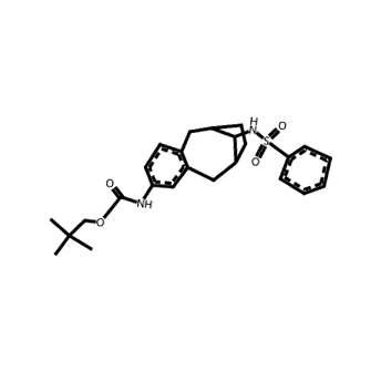 CC(C)(C)COC(=O)Nc1ccc2c(c1)CC1CCC(C2)C1NS(=O)(=O)c1ccccc1